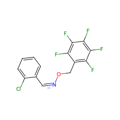 Fc1c(F)c(F)c(CO/N=[C]\c2ccccc2Cl)c(F)c1F